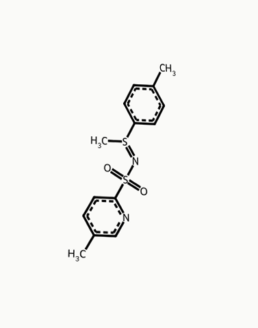 Cc1ccc(S(C)=NS(=O)(=O)c2ccc(C)cn2)cc1